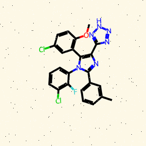 COc1ccc(Cl)cc1-c1c(-c2nn[nH]n2)nc(-c2cccc(C)c2)n1-c1cccc(Cl)c1F